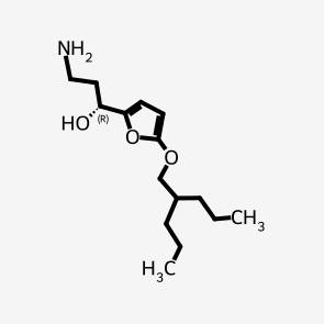 CCCC(CCC)COc1ccc([C@H](O)CCN)o1